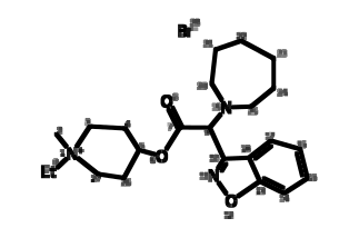 CC[N+]1(C)CCC(OC(=O)C(c2noc3ccccc23)N2CCCCCC2)CC1.[Br-]